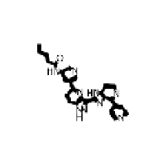 CCCCC(=O)Nc1cncc(-c2ccc3[nH]nc(-c4nc5c(-c6ccncc6)nccc5[nH]4)c3n2)c1